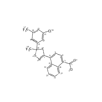 O=C(Cl)c1ccc(C2=NOC(c3cc(Cl)cc(C(F)(F)F)c3)(C(F)(F)F)C2)c2ccccc12